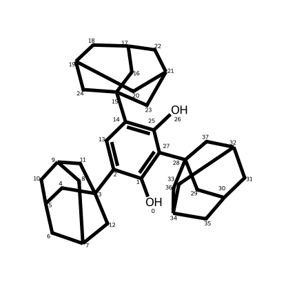 Oc1c(C23CC4CC(CC(C4)C2)C3)cc(C23CC4CC(CC(C4)C2)C3)c(O)c1C12CC3CC(CC(C3)C1)C2